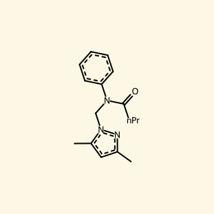 CCCC(=O)N(Cn1nc(C)cc1C)c1ccccc1